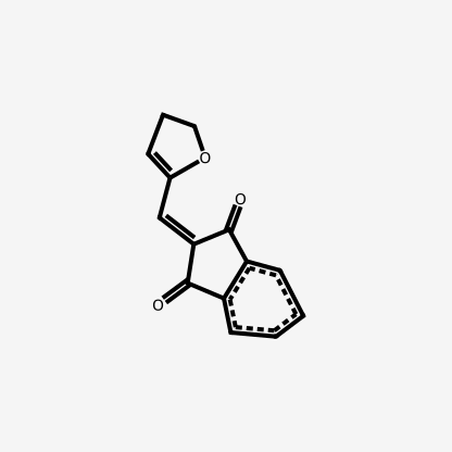 O=C1C(=CC2=CCCO2)C(=O)c2ccccc21